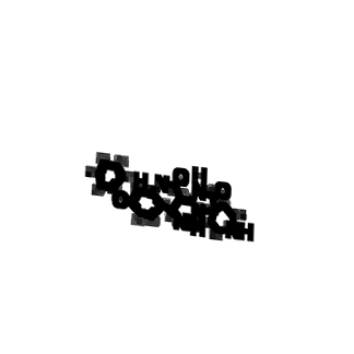 N=C(/C(C(N)=O)=C1/NC(=O)C2(CCNCC2)N1)c1ccc(Oc2ccccc2)cc1